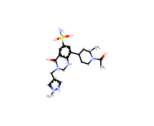 CC(=O)N1CCC(c2cc(S(N)(=O)=O)cc3c2NCN(Cc2cnn(C)c2)C3=O)C[C@H]1C